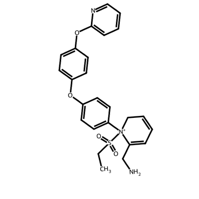 CCS(=O)(=O)[N+]1(c2ccc(Oc3ccc(Oc4ccccn4)cc3)cc2)CC=CC=C1CN